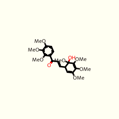 COC1=CC(C=CC(=O)c2ccc(OC)c(OC)c2OC)C(O)(OC)C(OC)=C1OC